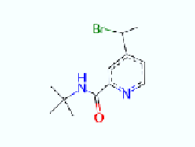 CC(Br)c1ccnc(C(=O)NC(C)(C)C)c1